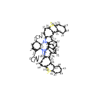 N#Cc1ccc(C#N)c(-n2c3ccccc3c3c4c(ccc32)sc2ccccc24)c1-n1c2ccccc2c2c3c(ccc21)sc1ccccc13